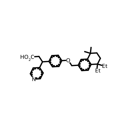 CCC1(CC)CCC(C)(C)c2cc(COc3ccc(C(CC(=O)O)c4ccncc4)cc3)ccc21